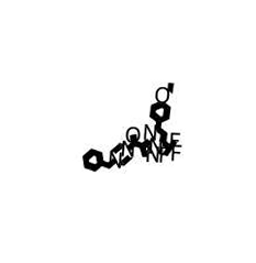 CCOc1ccc(-c2cc(C(F)(F)F)n3ncc(C(=O)N4CCN(Cc5ccccc5)CC4)c3n2)cc1